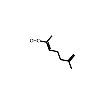 C=C(C)CC/C=C(\C)C=O